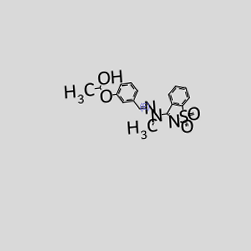 CC(O)Oc1cccc(/C=N/N(C)C2=NS(=O)(=O)c3ccccc32)c1